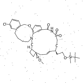 CO[C@H]1/C=C/[C@H](CCO[Si](C)(C)C(C)(C)C)C[C@@H](C)S(=O)(=O)NC(=O)c2ccc3c(c2)N(CCCCc2cc(Cl)ccc2CO3)C[C@@H]2CC[C@H]21